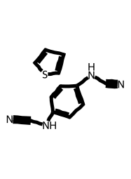 N#CNc1ccc(NC#N)cc1.c1ccsc1